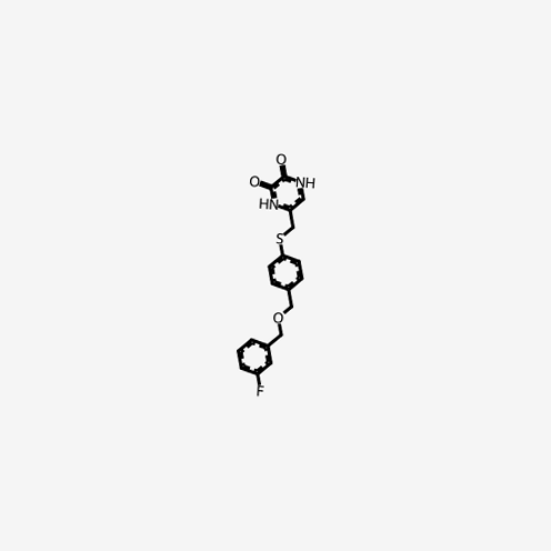 O=c1[nH]cc(CSc2ccc(COCc3cccc(F)c3)cc2)[nH]c1=O